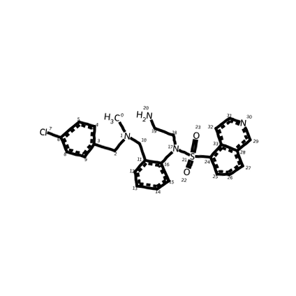 CN(Cc1ccc(Cl)cc1)Cc1ccccc1N(CCN)S(=O)(=O)c1cccc2cnccc12